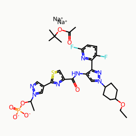 CC(=O)OC(C)(C)C.CCOC1CCC(n2cc(NC(=O)c3csc(-c4cnn(C(C)OP(=O)([O-])[O-])c4)n3)c(-c3nc(F)ccc3F)n2)CC1.[Na+].[Na+]